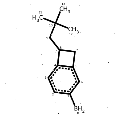 Bc1ccc2c(c1)CC2CC(C)(C)C